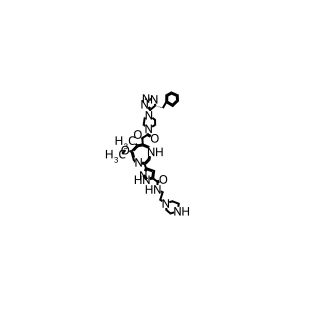 COc1cnc(-c2cc(C(=O)NCCN3CCNCC3)[nH]n2)c[nH]cc(C(=O)C(=O)N2CCN(C3=NN=N[C@@H]3Cc3ccccc3)CC2)c1C